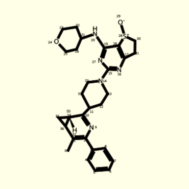 CC1=C(c2ccccc2)N=C(C2CCN(c3nc4c(c(NC5CCOCC5)n3)[S+]([O-])CC4)CC2)[C@H]2CC12